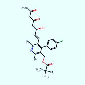 CCC(C)(C)C(=O)OCc1c(C(C)C)nc(C(C)C)c(/C=C/C(O)CC(=O)CC(=O)OC)c1-c1ccc(F)cc1